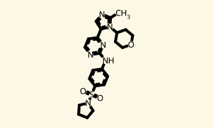 Cc1ncc(-c2ccnc(Nc3ccc(S(=O)(=O)N4CCCC4)cc3)n2)n1C1CCOCC1